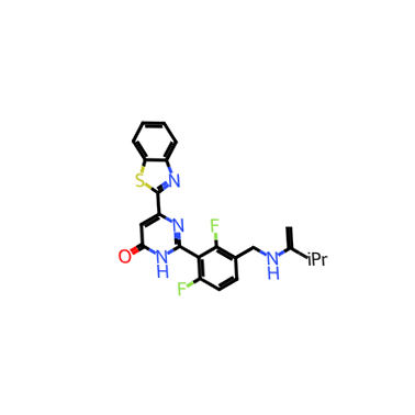 C=C(NCc1ccc(F)c(-c2nc(-c3nc4ccccc4s3)cc(=O)[nH]2)c1F)C(C)C